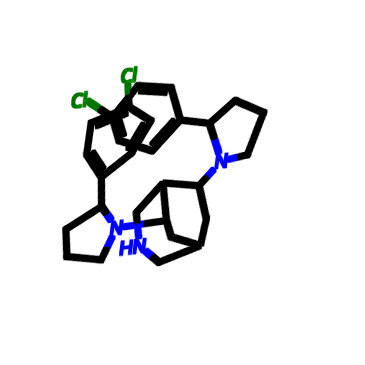 Clc1ccc(C2CCCN2C2CC3CNCC2C(N2CCCC2c2ccc(Cl)cc2)C3)cc1